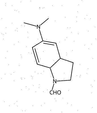 CN(C)C1=CC2CCN(C=O)C2C=C1